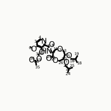 COc1ccnc(C(=O)N[C@H]2COC[C@H](OCC(C)C)[C@@H](OCC(C)C)COC2=O)c1OCOC(C)=O